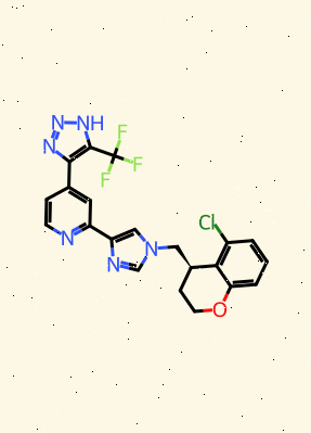 FC(F)(F)c1[nH]nnc1-c1ccnc(-c2cn(C[C@@H]3CCOc4cccc(Cl)c43)cn2)c1